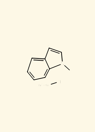 CCCCCCl.Cn1ccc2ccccc21